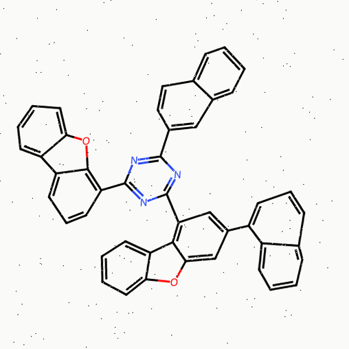 c1ccc2cc(-c3nc(-c4cccc5c4oc4ccccc45)nc(-c4cc(-c5cccc6ccccc56)cc5oc6ccccc6c45)n3)ccc2c1